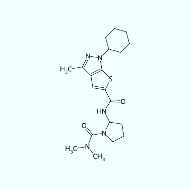 Cc1nn(C2CCCCC2)c2sc(C(=O)NC3CCCN3C(=O)N(C)C)cc12